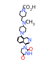 CN(CC1CCN(C(=O)O)CC1)C1CCN(c2cccc3c(N4CCC(=O)NC4=O)cncc23)CC1